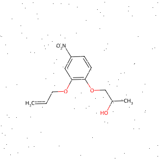 C=CCOc1cc([N+](=O)[O-])ccc1OCC(C)O